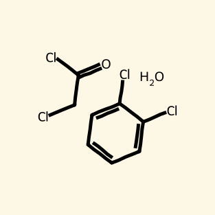 Clc1ccccc1Cl.O.O=C(Cl)CCl